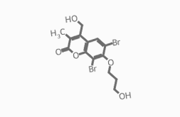 Cc1c(CO)c2cc(Br)c(OCCCO)c(Br)c2oc1=O